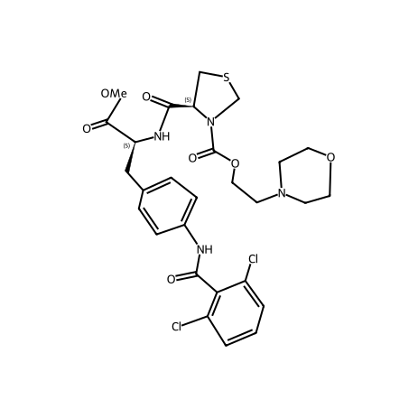 COC(=O)[C@H](Cc1ccc(NC(=O)c2c(Cl)cccc2Cl)cc1)NC(=O)[C@H]1CSCN1C(=O)OCCN1CCOCC1